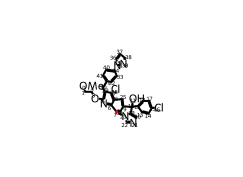 COCCOc1nc2ccc(C(O)(c3ccc(Cl)cc3)c3cncn3C)cc2c(Cl)c1Cc1ccc(-n2cccn2)cc1